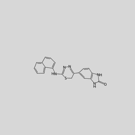 O=c1[nH]c2ccc(C3=NN=C(Nc4cccc5ccccc45)SC3)cc2[nH]1